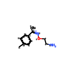 CCCC/C(=N/OCCN)c1ccc(C)cc1